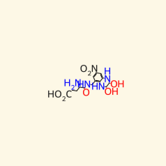 NC(CCC(=O)O)C(=O)NCc1cc([N+](=O)[O-])cc2c1NC(O)C(O)N2